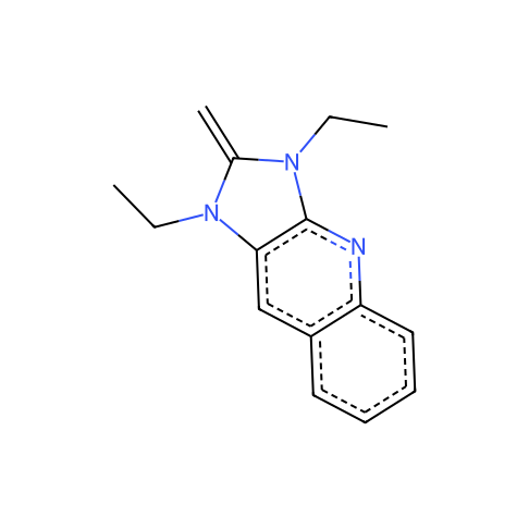 C=C1N(CC)c2cc3ccccc3nc2N1CC